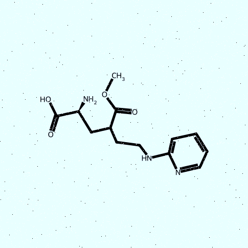 COC(=O)C(CCNc1ccccn1)C[C@H](N)C(=O)O